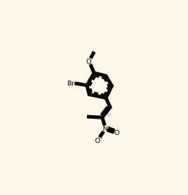 COc1ccc(/C=C(\C)[N+](=O)[O-])cc1Br